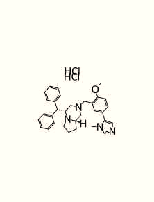 COc1ccc(-c2cncn2C)cc1CN1C[C@@H]2CCCN2[C@H](C(c2ccccc2)c2ccccc2)C1.Cl.Cl